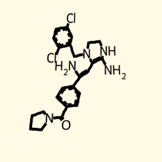 NC1=C(/C=C(\N)c2ccc(C(=O)N3CCCC3)cc2)N(Cc2cc(Cl)ccc2Cl)CCN1